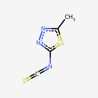 Cc1nnc(N=C=S)s1